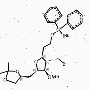 CO[C@@H]1[C@@H](CBr)[C@H](CCO[Si](c2ccccc2)(c2ccccc2)C(C)(C)C)O[C@@H]1C[C@H]1COC(C)(C)O1